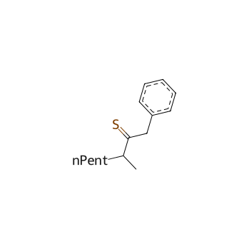 CCCCCC(C)C(=S)Cc1ccccc1